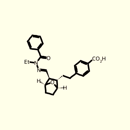 CCN(N=C[C@H]1[C@H](CCc2ccc(C(=O)O)cc2)[C@H]2CC[C@@H]1O2)C(=O)c1ccccc1